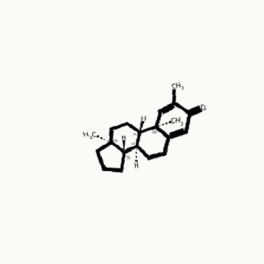 CC1=C[C@@]2(C)C(=CC1=O)CC[C@H]1[C@@H]3CCC[C@@]3(C)CC[C@@H]12